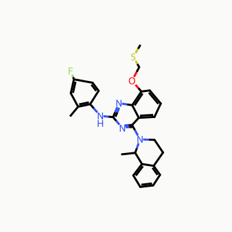 CSCOc1cccc2c(N3CCc4ccccc4C3C)nc(Nc3ccc(F)cc3C)nc12